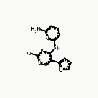 Nc1cccc(Nc2nc(Cl)ncc2-c2ccco2)n1